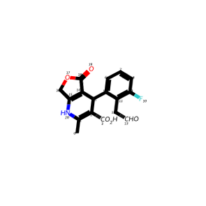 CC1=C(C(=O)O)C(c2cccc(F)c2CC=O)C2=C(COC2=O)N1